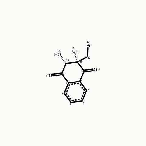 O=C1c2ccccc2C(=O)[C@](O)(CBr)[C@H]1O